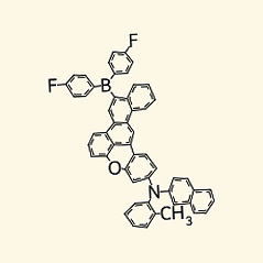 Cc1ccccc1N(c1ccc2c(c1)Oc1cccc3c1c-2cc1c2ccccc2c(B(c2ccc(F)cc2)c2ccc(F)cc2)cc31)c1ccc2ccccc2c1